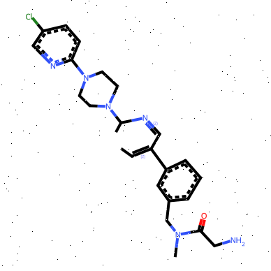 C/C=C(\C=N/C(C)N1CCN(c2ccc(Cl)cn2)CC1)c1cccc(CN(C)C(=O)CN)c1